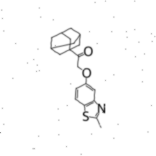 Cc1nc2cc(OCC(=O)C34CC5CC(CC(C5)C3)C4)ccc2s1